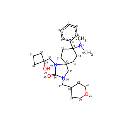 CN(C)C1(c2ccccc2)CCC2(CC1)CN(CC1CCOCC1)C(=O)N2CC1(O)CCC1